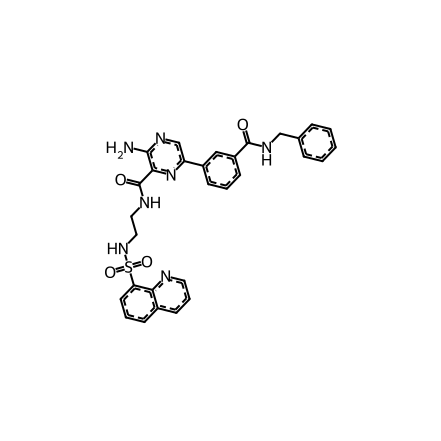 Nc1ncc(-c2cccc(C(=O)NCc3ccccc3)c2)nc1C(=O)NCCNS(=O)(=O)c1cccc2cccnc12